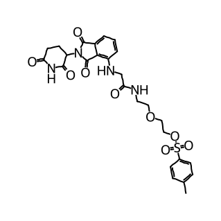 Cc1ccc(S(=O)(=O)OCCOCCNC(=O)CNc2cccc3c2C(=O)N(C2CCC(=O)NC2=O)C3=O)cc1